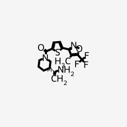 C=C(N)[C@@H]1CCCN(C(=O)c2ccc(-c3noc(C(F)(F)F)c3C)s2)C1